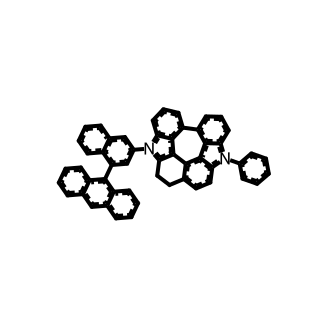 c1ccc(-n2c3cccc4c3c3c5c(ccc32)CCc2c-5c3c-4cccc3n2-c2cc(-c3c4ccccc4cc4ccccc34)c3ccccc3c2)cc1